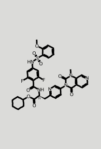 COc1ccccc1S(=O)(=O)Nc1cc(F)c(C(=O)N[C@@H](Cc2ccc(-n3c(=O)c4ccncc4n(C)c3=O)cn2)C(=O)OC2CCCCC2)c(F)c1